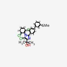 CSc1cccc(-c2ccc(-c3nc(C(C)(C)O)c(Cl)n3C3=C(Cl)C=CC[C@@H]3Cl)cc2)c1